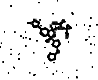 Cn1cc(-c2ccc(S(=O)(=O)[C@@H]3CC[C@@H](OC4CCCC4)C3)c(C(F)(F)F)c2)cn1.N#CC1(NC(=O)O)CC1